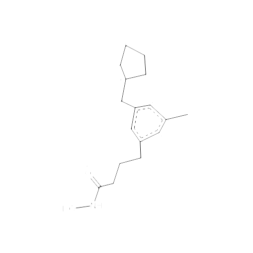 Cc1cc(CCCC(=O)NO)cc(CC2CCCC2)c1